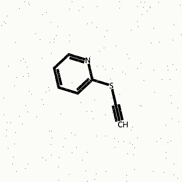 C#CSc1ccccn1